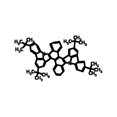 CC(C)(C)c1ccc2c(c1)c1cc(C(C)(C)C)cc3c4c5c6ccccc6c6c(c7cc(C(C)(C)C)cc8c9cc(C(C)(C)C)ccc9n6c87)c5c5ccccc5c4n2c13